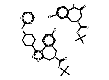 CC(C)(C)OC(=O)N1CC(=S)Nc2ccc(Cl)cc2C1.CC(C)(C)OC(=O)N1Cc2cc(Cl)ccc2-n2c(nnc2C2CCC(Oc3ncccn3)CC2)C1